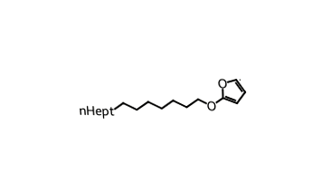 CCCCCCCCCCCCCCOc1cc[c]o1